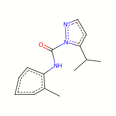 Cc1ccccc1NC(=O)n1nccc1C(C)C